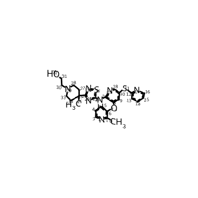 Cc1ncccc1Oc1cc(Sc2ccccn2)cnc1Nc1nc(C2(C)CCN(CCO)CC2)ns1